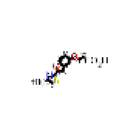 CC(C)(C)c1csc(-c2cc3cc(OCCC(=O)O)ccc3o2)n1